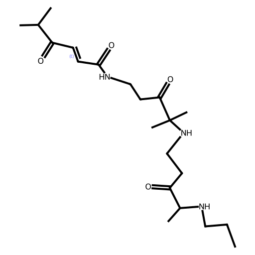 CCCNC(C)C(=O)CCNC(C)(C)C(=O)CCNC(=O)/C=C/C(=O)C(C)C